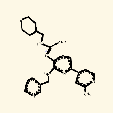 Cc1cc(-c2ccc(/N=C(\C=O)NCC3CCOCC3)c(NCc3cccnc3)n2)ccn1